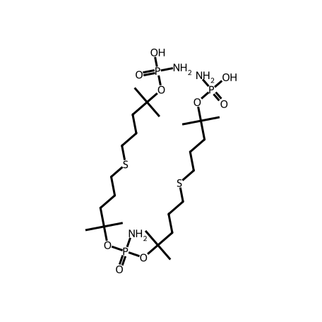 CC(C)(CCCSCCCC(C)(C)OP(N)(=O)OC(C)(C)CCCSCCCC(C)(C)OP(N)(=O)O)OP(N)(=O)O